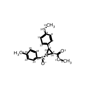 COC(=O)[C@@H]1[C@H](c2ccc(SC)cc2)N1[S+]([O-])c1ccc(C)cc1